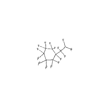 FC(F)C(F)(F)C1(F)C(F)(F)C(F)(F)C(F)(F)C(F)(F)C1(F)F